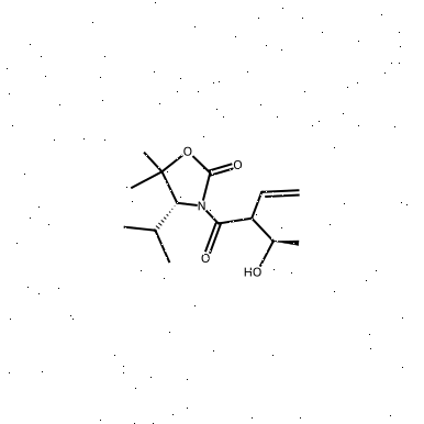 C=CC(C(=O)N1C(=O)OC(C)(C)[C@H]1C(C)C)[C@@H](C)O